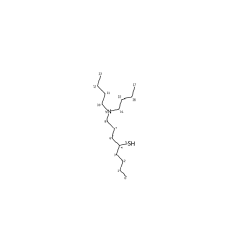 CCCCC(S)CCCN(CCCC)CCCC